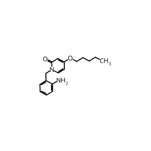 CCCCCOc1ccn(Cc2ccccc2N)c(=O)c1